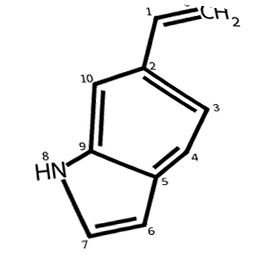 C=Cc1ccc2cc[nH]c2c1